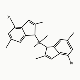 CC1=Cc2c(Br)cc(C)cc2C1[Si](C)(C)C1C(C)=Cc2c(Br)cc(C)cc21